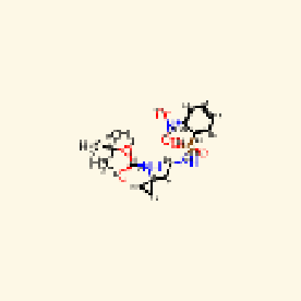 CC(C)(C)OC(=O)NC1(CCNS(=O)(=O)c2ccccc2[N+](=O)[O-])CC1